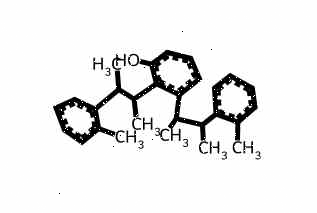 Cc1ccccc1C(C)C(C)c1cccc(O)c1C(C)C(C)c1ccccc1C